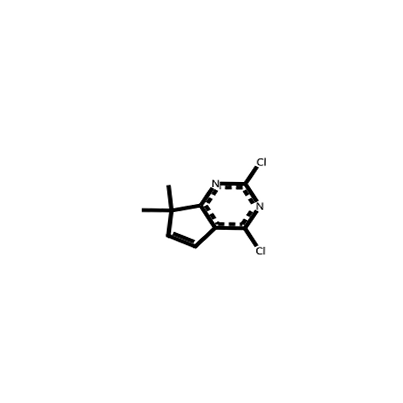 CC1(C)C=Cc2c(Cl)nc(Cl)nc21